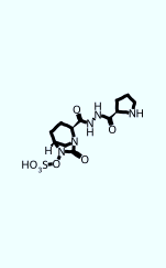 O=C(NNC(=O)[C@@H]1CC[C@@H]2CN1C(=O)N2OS(=O)(=O)O)[C@H]1CCCN1